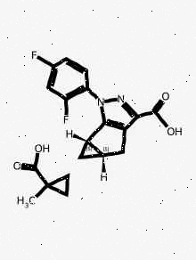 CC1(C(=O)O)CC1.O=C(O)c1nn(-c2ccc(F)cc2F)c2c1C[C@@H]1C[C@H]21